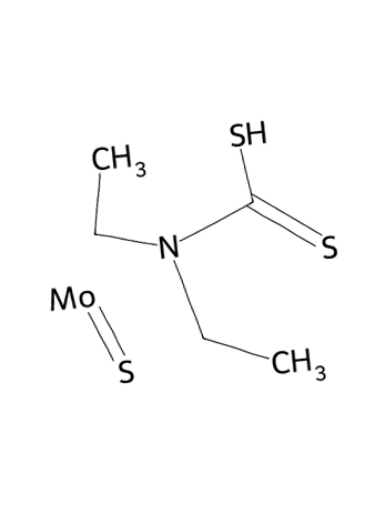 CCN(CC)C(=S)S.[S]=[Mo]